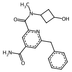 CN(C(=O)c1cc(C(N)=O)cc(Cc2ccccc2)n1)C1CC(O)C1